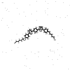 CCCCCCOc1ccc(-c2nnc(-c3ccc(-c4nnc(-c5ccc(CCCCCC)cc5)o4)cc3)o2)cc1